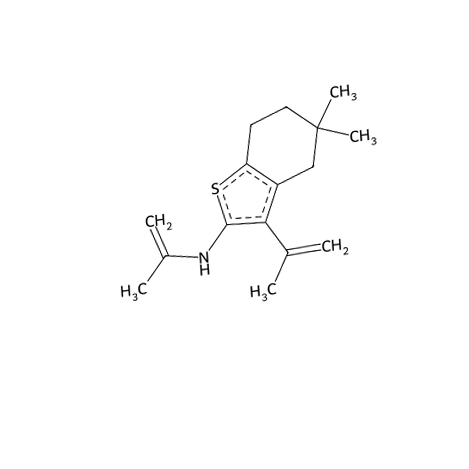 C=C(C)Nc1sc2c(c1C(=C)C)CC(C)(C)CC2